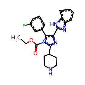 CCOC(=O)n1c(C2CCNCC2)nc(-c2nc3ccccc3[nH]2)c1-c1cccc(F)c1